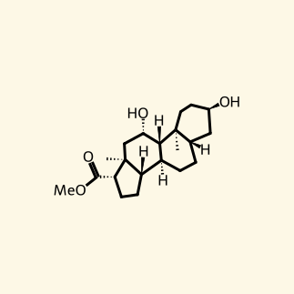 COC(=O)[C@H]1CC[C@H]2[C@@H]3CC[C@H]4C[C@H](O)CC[C@]4(C)[C@H]3[C@@H](O)C[C@]12C